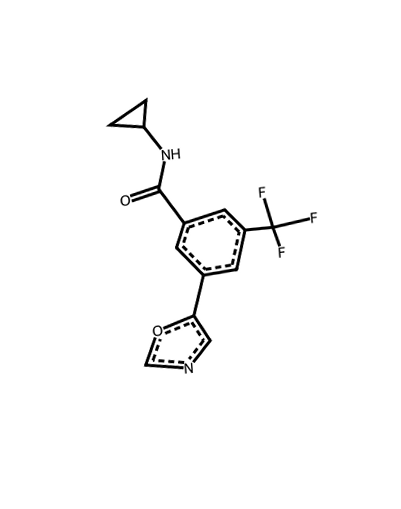 O=C(NC1CC1)c1cc(-c2cnco2)cc(C(F)(F)F)c1